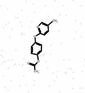 CC(=O)Oc1ccc(Oc2ccc(C)cn2)cc1